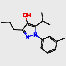 CCCc1nn(-c2cccc(C)c2)c(C(C)C)c1O